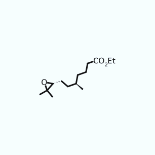 CCOC(=O)CCC[C@@H](C)CC[C@H]1OC1(C)C